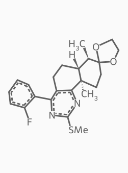 CSc1nc(-c2ccccc2F)c2c(n1)[C@]1(C)CCC3(OCCO3)[C@H](C)[C@H]1CC2